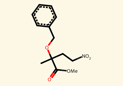 COC(=O)C(C)(CC[N+](=O)[O-])OCc1ccccc1